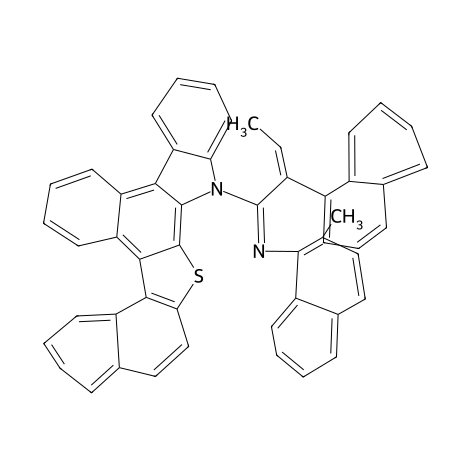 C/C=C(\C(=N/c1c(C)ccc2ccccc12)n1c2ccccc2c2c3ccccc3c3c(sc4ccc5ccccc5c43)c21)c1cccc2ccccc12